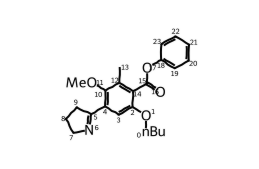 CCCCOc1cc(C2=NCCC2)c(OC)c(C)c1C(=O)Oc1ccccc1